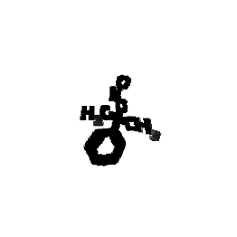 CC(C)(ON=O)c1ccccc1